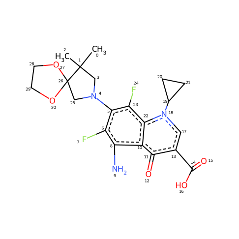 CC1(C)CN(c2c(F)c(N)c3c(=O)c(C(=O)O)cn(C4CC4)c3c2F)CC12OCCO2